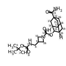 CC(C)(C)OC(=O)NCC1CN(C(=O)OC2[C@@H]3CC4C[C@H]2CC(C(N)=O)(C4)C3)C1